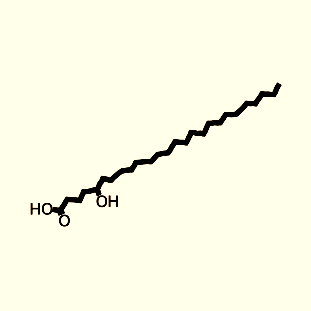 CCCCCCCCCCCCCCCCCCCCCC(O)CCCC(=O)O